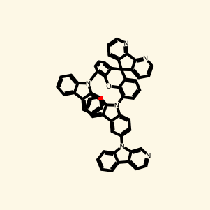 c1cnc2c(c1)C1(c3cccnc3-2)c2cccc(-n3c4ccccc4c4ccccc43)c2Oc2c(-n3c4ccccc4c4cc(-n5c6ccccc6c6ccncc65)ccc43)cccc21